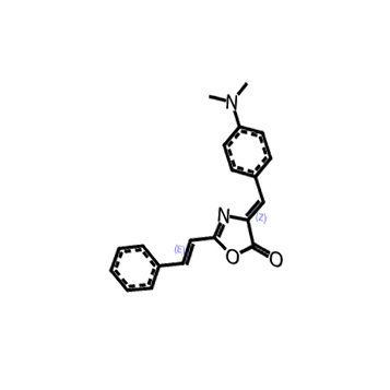 CN(C)c1ccc(/C=C2N=C(/C=C/c3ccccc3)OC\2=O)cc1